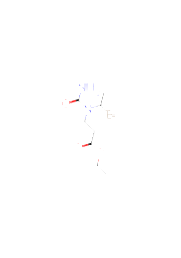 CCOC(=O)CCN(C(N)=O)C(C)Br